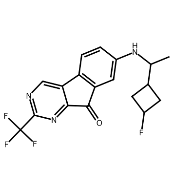 CC(Nc1ccc2c(c1)C(=O)c1nc(C(F)(F)F)ncc1-2)C1CC(F)C1